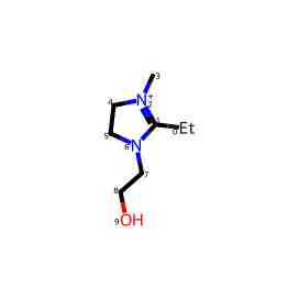 CCC1=[N+](C)CCN1CCO